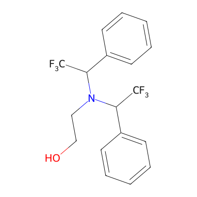 OCCN(C(c1ccccc1)C(F)(F)F)C(c1ccccc1)C(F)(F)F